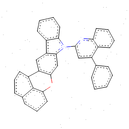 c1ccc(-c2cc(-n3c4ccccc4c4cc5c(cc43)Oc3cccc4cccc-5c34)nc3ccccc23)cc1